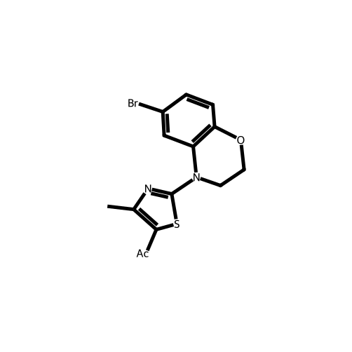 CC(=O)c1sc(N2CCOc3ccc(Br)cc32)nc1C